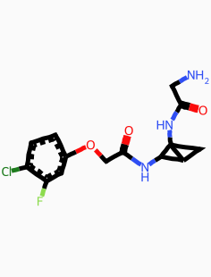 NCC(=O)NC12CC1C2NC(=O)COc1ccc(Cl)c(F)c1